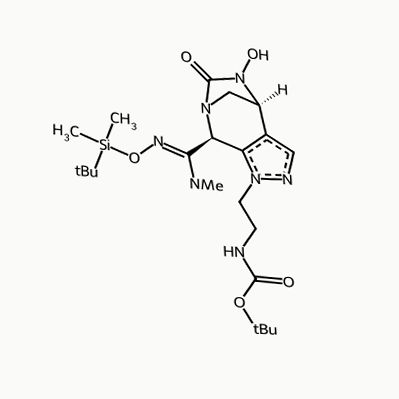 CN/C(=N\O[Si](C)(C)C(C)(C)C)[C@@H]1c2c(cnn2CCNC(=O)OC(C)(C)C)[C@H]2CN1C(=O)N2O